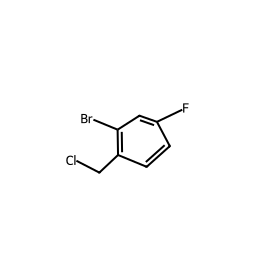 Fc1ccc(CCl)c(Br)c1